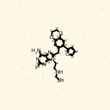 CC(C)CNCCn1c(Cc2cc3c(cc2-c2ccco2)OCCO3)nc2c(N)nc(F)nc21